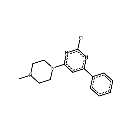 CN1CCN(c2cc(-c3ccccc3)nc(Cl)n2)CC1